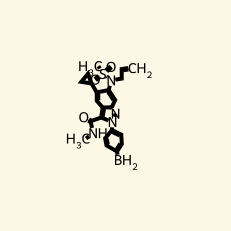 Bc1ccc(-n2nc3cc(N(CC=C)S(C)(=O)=O)c(C4CC4)cc3c2C(=O)NC)cc1